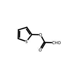 O=CC(=O)Oc1cccs1